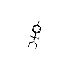 CCN(CC)C(F)(F)c1ccc(Cl)cc1